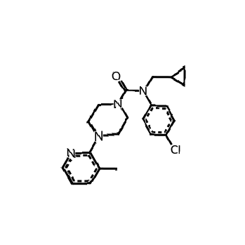 Cc1cccnc1N1CCN(C(=O)N(CC2CC2)c2ccc(Cl)cc2)CC1